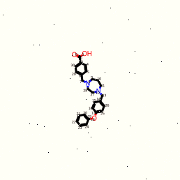 O=C(O)c1ccc(CN2CCCN(Cc3ccc(Oc4ccccc4)cc3)CC2)cc1